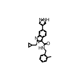 Cc1ccccc1CNC(=O)c1c2ccc(-c3cn[nH]c3)cc2nn1CC1CC1